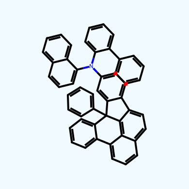 c1ccc(-c2ccccc2N(c2ccc3c(c2)C2(c4ccccc4)c4ccccc4-c4cccc5ccc-3c2c45)c2cccc3ccccc23)cc1